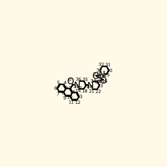 O=C(c1c2ccccc2cc2ccccc12)N1CCC(N2CCCC(S(=O)(=O)N3CCCCC3)C2)CC1